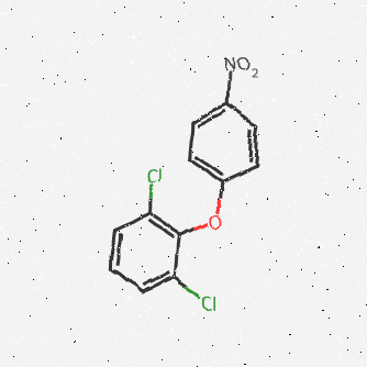 O=[N+]([O-])c1ccc(Oc2c(Cl)cccc2Cl)cc1